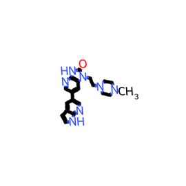 CN1CCN(CCn2c(=O)[nH]c3ncc(-c4cnc5[nH]ccc5c4)cc32)CC1